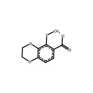 CSc1c(C(=O)Cl)ccc2c1OCCO2